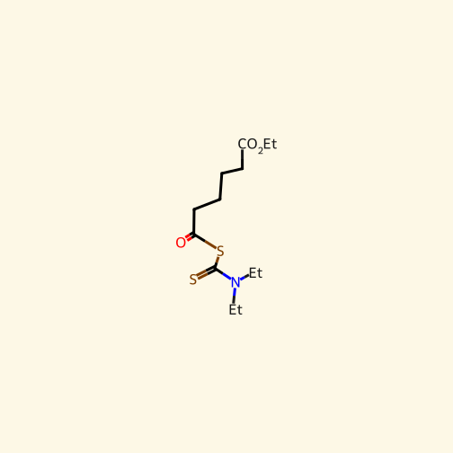 CCOC(=O)CCCCC(=O)SC(=S)N(CC)CC